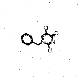 O=c1nc(Cl)n(Cc2ccccc2)cc1Cl